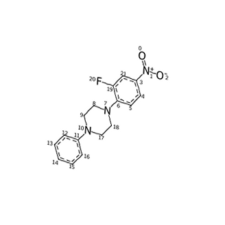 O=[N+]([O-])c1ccc(N2CCN(c3ccccc3)CC2)c(F)c1